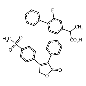 CC(C(=O)O)c1ccc(-c2ccccc2)c(F)c1.CS(=O)(=O)c1ccc(C2=C(c3ccccc3)C(=O)OC2)cc1